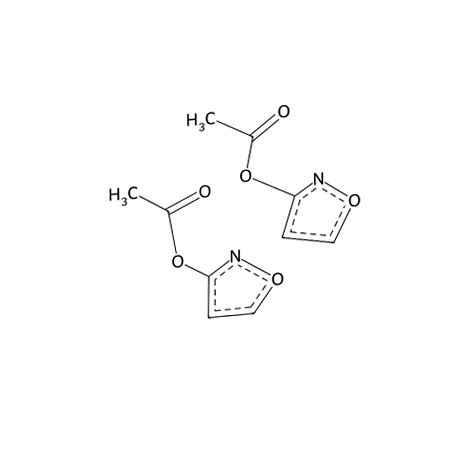 CC(=O)Oc1ccon1.CC(=O)Oc1ccon1